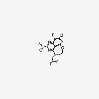 C[S+]([O-])c1nc2c3c(nc(Cl)c(F)c3n1)OCCN2CC(F)F